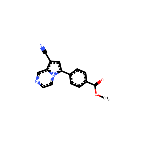 COC(=O)c1ccc(-c2cc(C#N)c3cnccn23)cc1